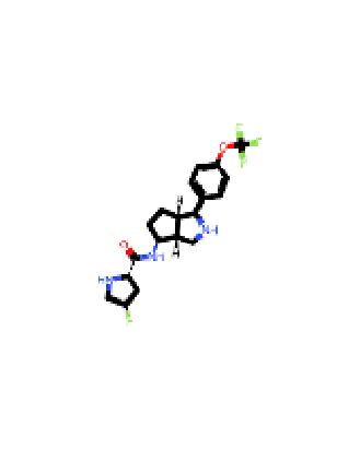 O=C(N[C@H]1CC[C@@H]2C(c3ccc(OC(F)(F)F)cc3)NC[C@H]12)[C@@H]1C[C@@H](F)CN1